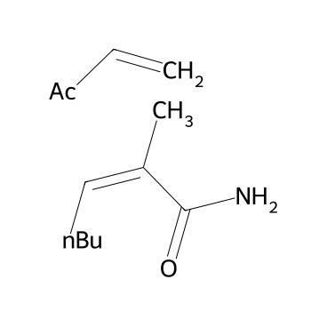 C=CC(C)=O.CCCCC=C(C)C(N)=O